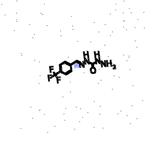 NNC(=O)N/N=C/c1ccc(C(F)(F)F)cc1